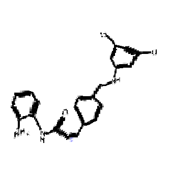 Nc1ccccc1NC(=O)/C=C\c1ccc(CNc2cc(Cl)cc(Cl)c2)cc1